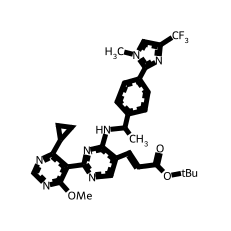 COc1ncnc(C2CC2)c1-c1ncc(/C=C/C(=O)OC(C)(C)C)c(NC(C)c2ccc(-c3nc(C(F)(F)F)cn3C)cc2)n1